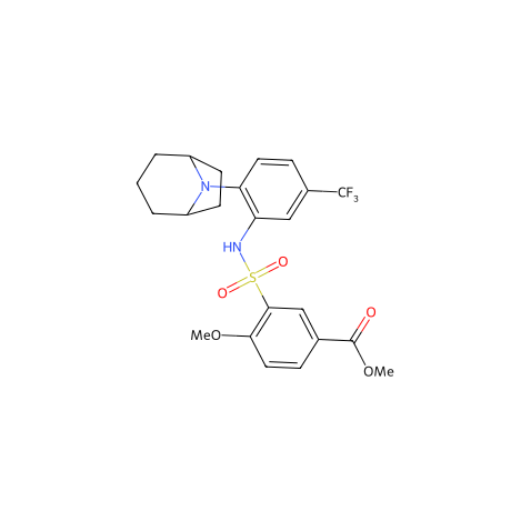 COC(=O)c1ccc(OC)c(S(=O)(=O)Nc2cc(C(F)(F)F)ccc2N2C3CCCC2CC3)c1